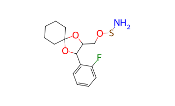 NSOCC1OC2(CCCCC2)OC1c1ccccc1F